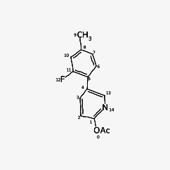 CC(=O)Oc1ccc(-c2ccc(C)cc2F)cn1